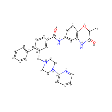 CC1Oc2ccc(NC(=O)c3ccc(-c4ccccc4)c(CN4CCN(c5ccccn5)CC4)c3)cc2NC1=O